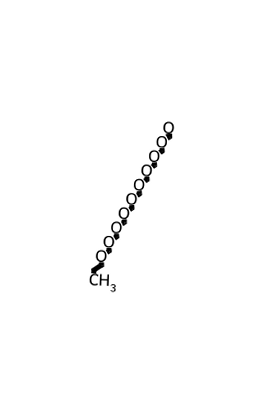 CCCOCOCOCOCOCOCOCOCOC=O